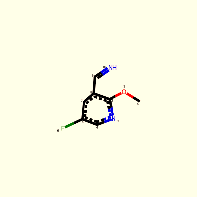 COc1ncc(F)cc1C=N